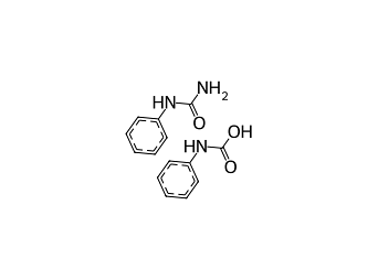 NC(=O)Nc1ccccc1.O=C(O)Nc1ccccc1